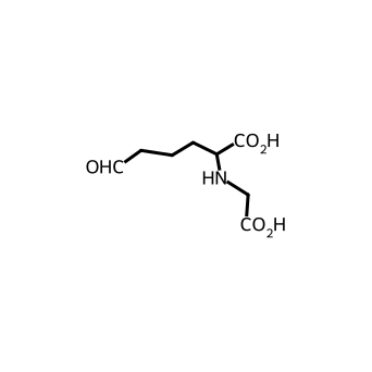 O=CCCCC(NCC(=O)O)C(=O)O